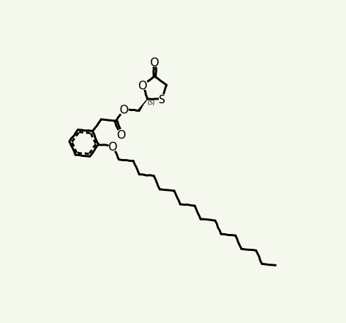 CCCCCCCCCCCCCCCCOc1ccccc1CC(=O)OC[C@H]1OC(=O)CS1